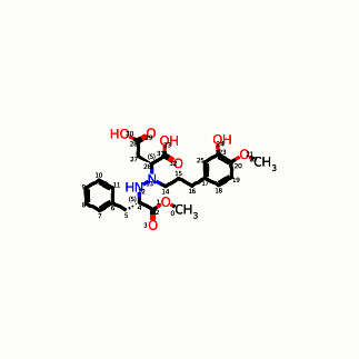 COC(=O)[C@H](Cc1ccccc1)NN(CCCc1ccc(OC)c(O)c1)[C@@H](CC(=O)O)C(=O)O